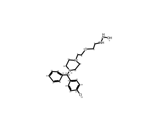 ONNCCOCCN1CCN([C@H](c2ccccc2)c2ccc(Cl)cc2)CC1